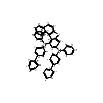 c1ccc(-c2ccc(N(c3ccccc3)c3cc(N(c4ccccc4)c4ccc(-c5ccccc5)cc4)c4c(c3)oc3ccc5ccccc5c34)cc2)cc1